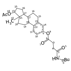 CCCCNC(=O)CCC(=O)Oc1ccc2c(c1)CCC1C2CCC2(C)C(OC(C)=O)CCC12